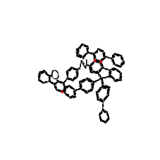 c1ccc(-c2ccc(-c3ccccc3N(c3ccc(-c4cccc5c4oc4ccccc45)cc3)c3ccc4c(c3)C(c3ccc(-c5ccccc5)cc3)(c3ccc(-c5ccccc5)cc3)c3ccccc3-4)cc2)cc1